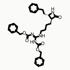 O=C(N=C(NCCCC[C@@H]1C(=O)N[C@H]1CCc1ccccc1)NC(=O)OCc1ccccc1)OCc1ccccc1